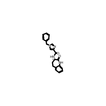 O=C(N[C@H]1CCc2ccccc2NC1=O)c1cn(Cc2ccccc2)cn1